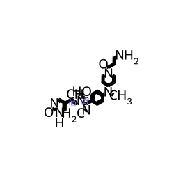 C=N/C(=N\C=C(/C)c1cnc(=O)[nH]c1)c1ccc(N(C)C2CCN(C(=O)CCN)CC2)cc1O